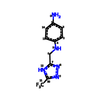 Nc1ccc(NCc2nnc(C(F)(F)F)[nH]2)cc1